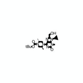 C[C@@H]1CN(c2nc(=O)n(C)c3c2nc(CO)n3C2CC2)[C@@H](C)CN1C(=O)OC(C)(C)C